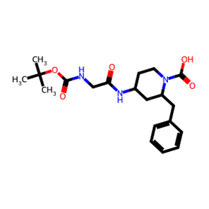 CC(C)(C)OC(=O)NCC(=O)NC1CCN(C(=O)O)C(Cc2ccccc2)C1